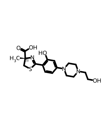 C[C@]1(C(=O)O)CSC(c2ccc(N3CCN(CCO)CC3)cc2O)=N1